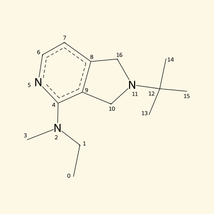 CCN(C)c1nccc2c1CN(C(C)(C)C)C2